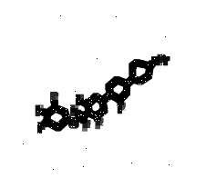 CCCC1CCC(C2CCC(C3CC(F)C(C(F)(F)OC4CC(F)C(F)C(F)C4)C(F)C3)C(F)C2)CC1